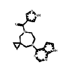 O=C(c1cn[nH]c1)N1CCN(c2ncnc3[nH]ccc23)CC2(CC2)C1